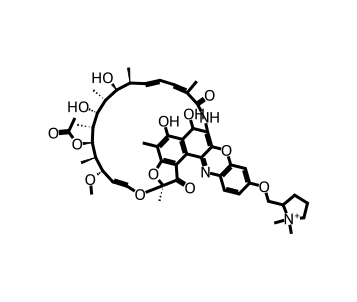 CO[C@H]1/C=C/O[C@@]2(C)Oc3c(C)c(O)c4c(c3C2=O)C2=Nc3ccc(OCC5CCC[N+]5(C)C)cc3OC2=C(NC(=O)/C(C)=C\C=C\[C@H](C)[C@H](O)[C@@H](C)[C@@H](O)[C@@H](C)[C@H](OC(C)=O)[C@@H]1C)C4O